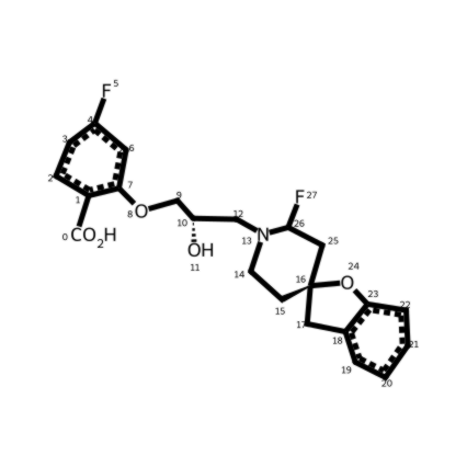 O=C(O)c1ccc(F)cc1OC[C@@H](O)CN1CC[C@@]2(Cc3ccccc3O2)CC1F